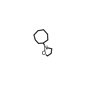 C1CCCC(N2CCCO2)CCC1